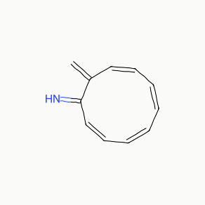 C=C1\C=C/C=C\C=C/C=C\C1=N